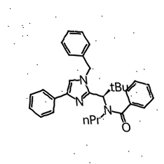 CCCN(C(=O)c1ccccc1)[C@@H](c1nc(-c2ccccc2)cn1Cc1ccccc1)C(C)(C)C